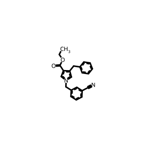 CCOC(=O)c1cn(Cc2cccc(C#N)c2)cc1Cc1ccccc1